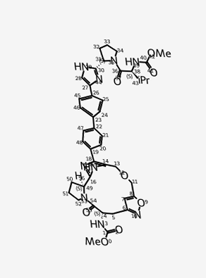 COC(=O)N[C@H]1Cc2cc(on2)COCc2[nH]c(nc2-c2ccc(-c3ccc(-c4c[nH]c([C@@H]5CCCN5C(=O)[C@@H](NC(=O)OC)C(C)C)n4)cc3)cc2)[C@@H]2CCCN2C1=O